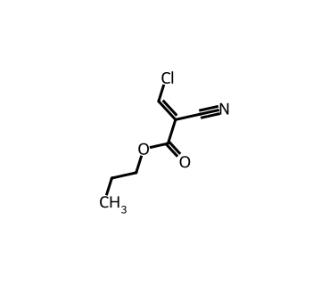 CCCOC(=O)C(C#N)=CCl